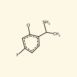 CC([SiH3])c1ccc(F)cc1Cl